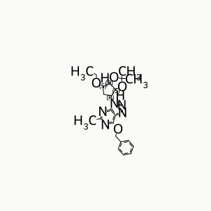 CCO[C@H]1C[C@@H](n2nnc3c(OCc4ccccc4)nc(C)nc32)[C@@H]2OC(C)(C)O[C@@H]21